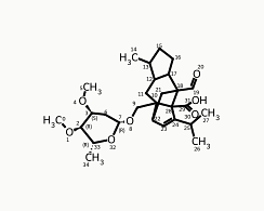 CO[C@H]1[C@@H](OC)C[C@H](OCC23CC4C(C)CCC4C4(C=O)CC2C=C(C(C)C)C43C(=O)O)O[C@@H]1C